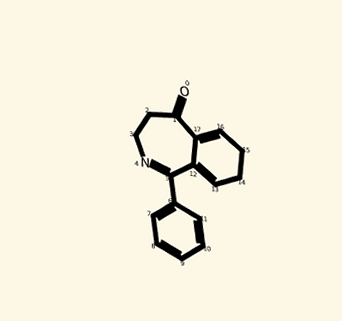 O=C1CCN=C(c2ccccc2)C2=CCCC=C12